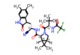 Cc1cc2c(cc1C)C(C[C@@H](C#N)NC(=O)[C@@H]1[C@@H]3[C@H](CN1C(=O)[C@@H](NC(=O)C(F)(F)F)C(C)(C)C)C3(C)C)C(=O)N2